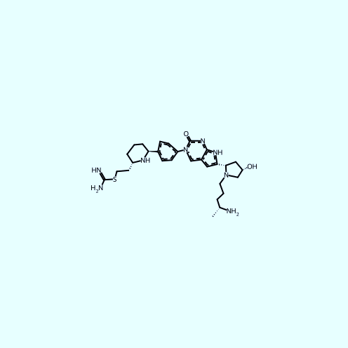 C[C@@H](N)CCCN1C[C@@H](O)C[C@H]1c1cc2cn(-c3ccc([C@@H]4CCC[C@@H](CCSC(=N)N)N4)cc3)c(=O)nc2[nH]1